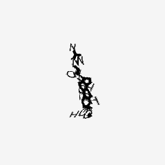 COC[C@@]1(O)CC[C@H]2[C@@H](CC[C@@H]3[C@@H]2CC[C@]2(C)[C@@H](C(=O)CCn4cc(C#N)cn4)CC[C@@H]32)C1